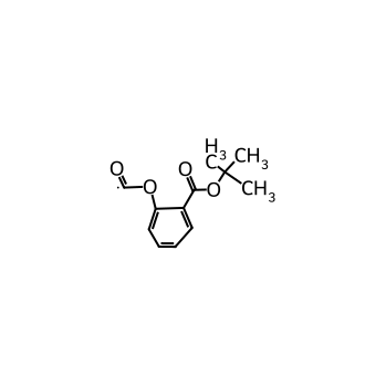 CC(C)(C)OC(=O)c1ccccc1O[C]=O